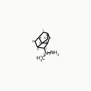 CN(N)C1C2CC3CC(C2)CC1C3